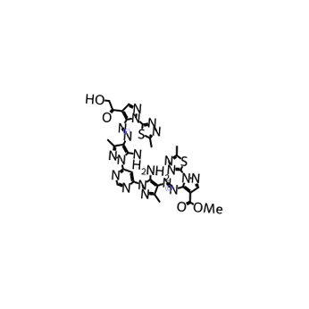 COC(=O)c1cnn(-c2nnc(C)s2)c1/N=N/c1c(C)nn(-c2cc(-n3nc(C)c(/N=N/c4c(C(=O)CO)cnn4-c4nnc(C)s4)c3N)ncn2)c1N